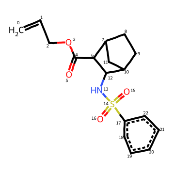 C=CCOC(=O)C1C2CCC(C2)C1NS(=O)(=O)c1ccccc1